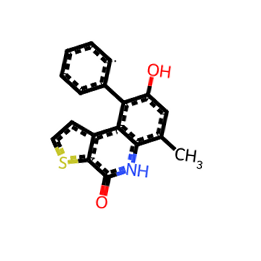 Cc1cc(O)c(-c2[c]cccc2)c2c1[nH]c(=O)c1sccc12